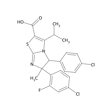 CC(C)C1=C(C(=O)O)SC2=NC(C)(c3ccc(Cl)cc3F)C(c3ccc(Cl)cc3)N21